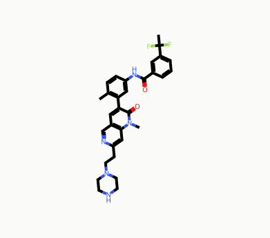 Cc1ccc(NC(=O)c2cccc(C(C)(F)F)c2)cc1-c1cc2cnc(CCN3CCNCC3)cc2n(C)c1=O